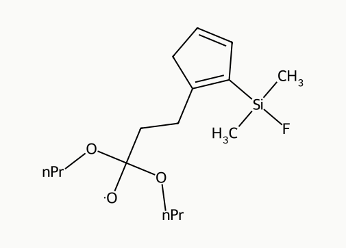 CCCOC([O])(CCC1=C([Si](C)(C)F)C=CC1)OCCC